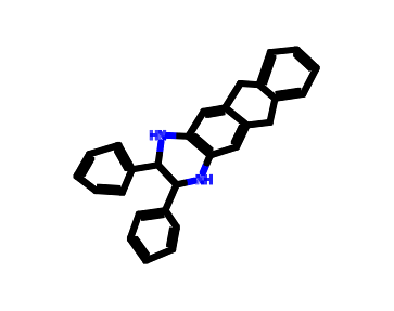 c1ccc(C2Nc3cc4c(cc3NC2c2ccccc2)Cc2ccccc2C4)cc1